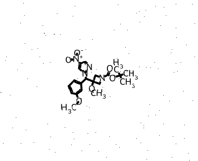 COc1cccc(C(n2cc([N+](=O)[O-])cn2)C2(OC)CN(C(=O)OC(C)(C)C)C2)c1